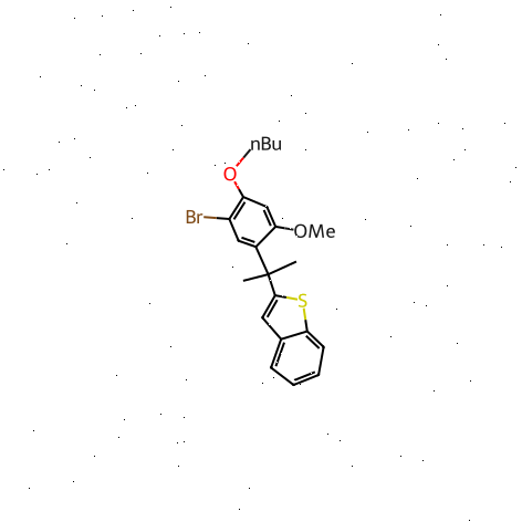 CCCCOc1cc(OC)c(C(C)(C)c2cc3ccccc3s2)cc1Br